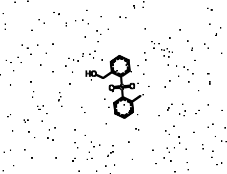 Cc1ccccc1S(=O)(=O)c1ccccc1CO